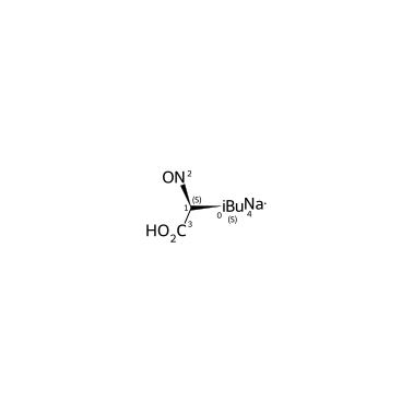 CC[C@H](C)[C@H](N=O)C(=O)O.[Na]